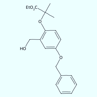 CCOC(=O)C(C)(C)Oc1ccc(OCc2ccccc2)cc1CO